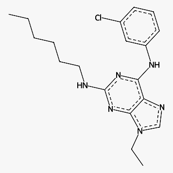 CCCCCCNc1nc(Nc2cccc(Cl)c2)c2ncn(CC)c2n1